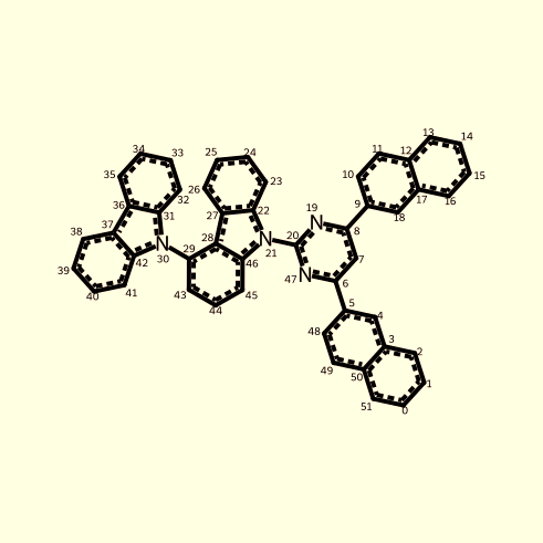 c1ccc2cc(-c3cc(-c4ccc5ccccc5c4)nc(-n4c5ccccc5c5c(-n6c7ccccc7c7ccccc76)cccc54)n3)ccc2c1